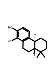 CC(C)c1c(O)ccc2c1CC[C@H]1C(C)(C)CCC[C@]21C